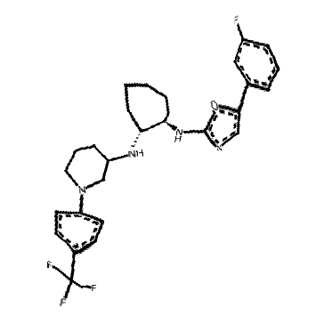 Fc1cccc(-c2cnc(N[C@@H]3CCCC[C@H]3NC3CCCN(c4ccc(C(F)(F)F)cc4)C3)o2)c1